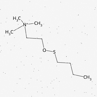 CCCCSOCC[N+](C)(C)C